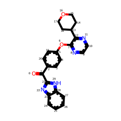 O=C(c1ccc(Oc2nccnc2C2CCOCC2)cc1)c1nc2ccccc2[nH]1